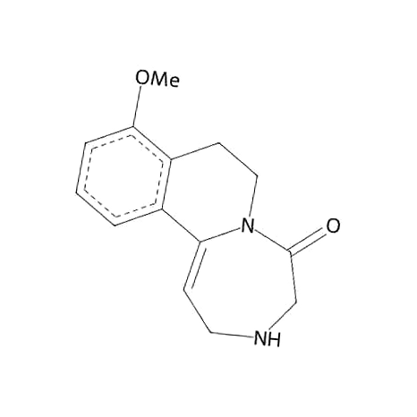 COc1cccc2c1CCN1C(=O)CNCC=C21